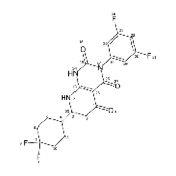 O=C1C[C@H](C2CCC(F)(F)CC2)Nc2[nH]c(=O)n(-c3cc(F)cc(F)c3)c(=O)c21